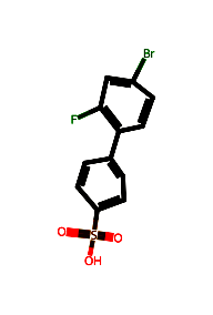 O=S(=O)(O)c1ccc(-c2ccc(Br)cc2F)cc1